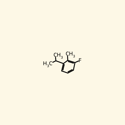 Cc1c(F)cccc1C(C)C